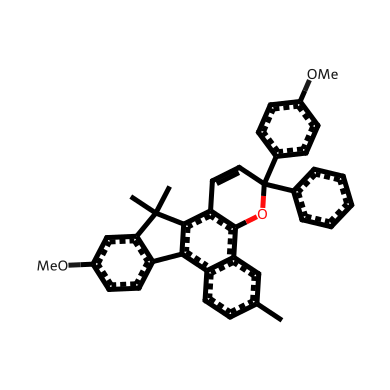 COc1ccc(C2(c3ccccc3)C=Cc3c4c(c5ccc(C)cc5c3O2)-c2ccc(OC)cc2C4(C)C)cc1